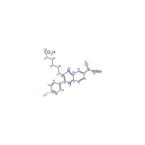 CNC(=O)c1ccc2nc(-c3ccc(F)cc3)c(CCCCCC(=O)O)nc2c1